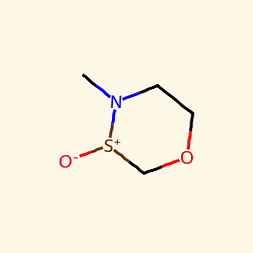 CN1CCOC[S+]1[O-]